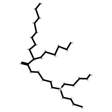 C=C(CCCCCN(CCCC)CCCCC)C(CCCCCC)CCCCCCCC